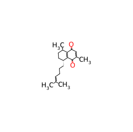 CC(C)=CCCC[C@@H]1CC[C@@H](C)C2=C1C(=O)C(C)=CC2=O